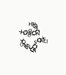 CC(C)(C)OC(=O)N1CCN(c2ccnc3ccc(Sc4ccc(C(C)(C)C)cc4)cc23)CC1.CC(C)(C)c1ccc(S(=O)(=O)c2ccc3nccc(N4CCNCC4)c3c2)cc1.Cl